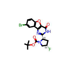 CC(C)(C)OC(=O)N1C[C@@H](F)C[C@H]1c1nc2c(oc3ccc(Br)cc32)c(=O)[nH]1